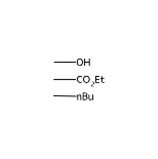 CCCCC.CCOC(C)=O.CO